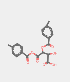 Cc1ccc(C(=O)OC(=O)C(OC(=O)c2ccc(C)cc2)C(O)C(=O)O)cc1